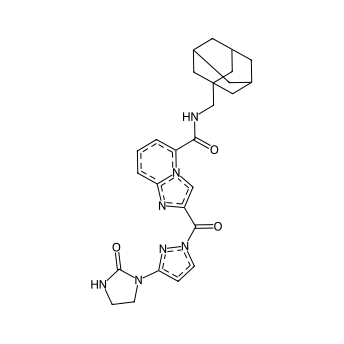 O=C(NCC12CC3CC(CC(C3)C1)C2)c1cccc2nc(C(=O)n3ccc(N4CCNC4=O)n3)cn12